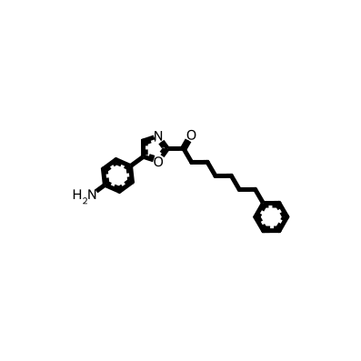 Nc1ccc(-c2cnc(C(=O)CCCCCCc3ccccc3)o2)cc1